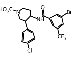 O=C(NC1CCN(C(=O)O)CC1c1ccc(Cl)cc1)c1cc(Br)cc(C(F)(F)F)c1